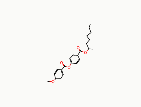 CCCCCCC(C)OC(=O)c1ccc(OC(=O)c2ccc(OC)cc2)cc1